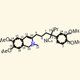 COc1ccc(C(C#N)(CCCC2=Cc3cc(OC)c(OC)cc3CN2C)C(C)C)cc1OC